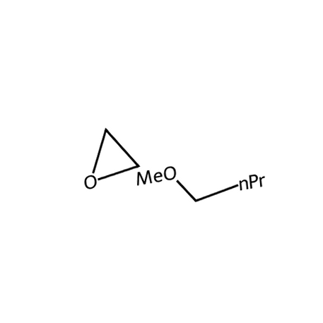 C1CO1.CCCCOC